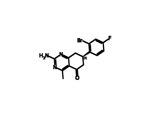 Cc1nc(N)nc2c1C(=O)C[C@H](c1ccc(F)cc1Br)C2